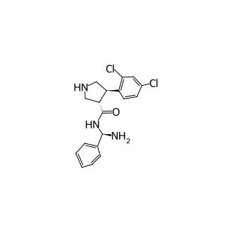 N[C@H](NC(=O)[C@@H]1CNC[C@H]1c1ccc(Cl)cc1Cl)c1ccccc1